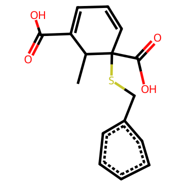 CC1C(C(=O)O)=CC=CC1(SCc1ccccc1)C(=O)O